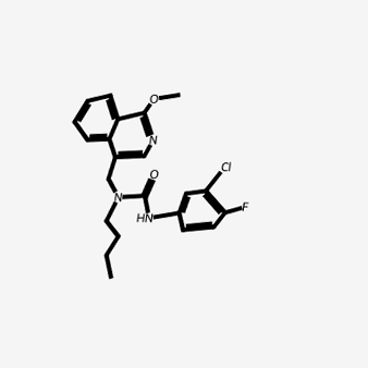 CCCCN(Cc1cnc(OC)c2ccccc12)C(=O)Nc1ccc(F)c(Cl)c1